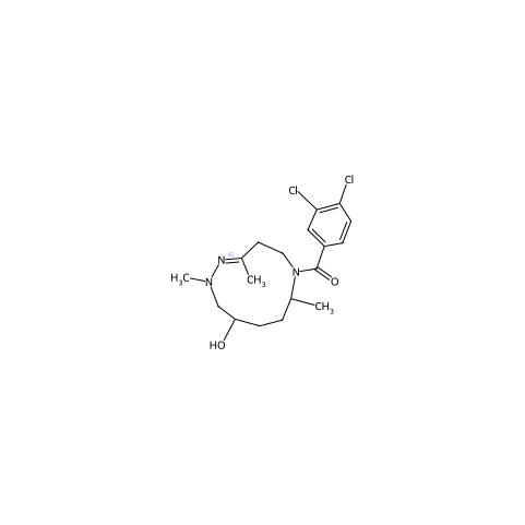 C/C1=N\N(C)CC(O)CCC(C)N(C(=O)c2ccc(Cl)c(Cl)c2)CC1